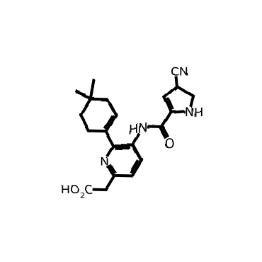 CC1(C)CC=C(c2nc(CC(=O)O)ccc2NC(=O)C2=CC(C#N)CN2)CC1